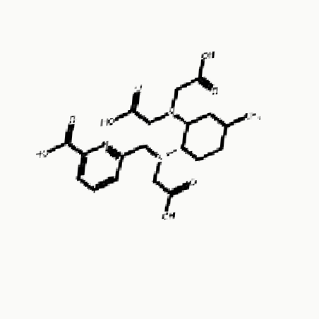 CC1CC[C@H](N(CC(=O)O)Cc2cccc(C(=O)O)n2)[C@@H](N(CC(=O)O)CC(=O)O)C1